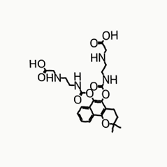 CC1(C)CCc2c(OC(=O)NCCNCC(=O)O)c(OC(=O)NCCNCC(=O)O)c3ccccc3c2O1